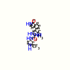 CC1NC(C(=O)NC2CCNC(C(F)(F)F)C2)NCC1c1cccc2c1CCNC2=O